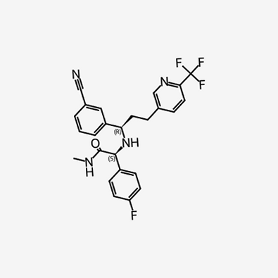 CNC(=O)[C@@H](N[C@H](CCc1ccc(C(F)(F)F)nc1)c1cccc(C#N)c1)c1ccc(F)cc1